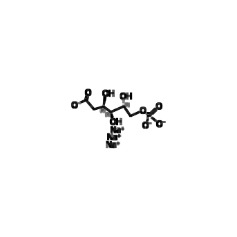 O=C([O-])C[C@@H](O)[C@H](O)[C@H](O)COP(=O)([O-])[O-].[Na+].[Na+].[Na+]